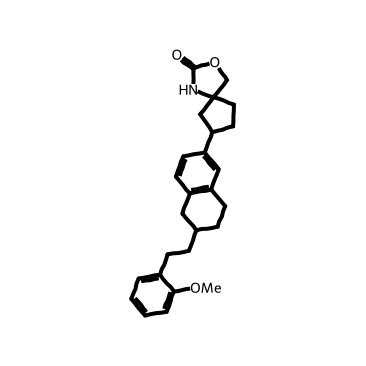 COc1ccccc1CCC1CCc2cc(C3CCC4(COC(=O)N4)C3)ccc2C1